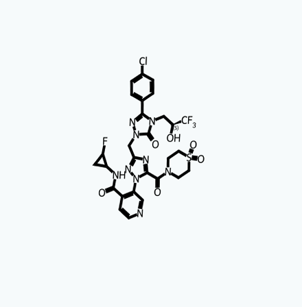 O=C(NC1CC1F)c1ccncc1-n1nc(Cn2nc(-c3ccc(Cl)cc3)n(C[C@H](O)C(F)(F)F)c2=O)nc1C(=O)N1CCS(=O)(=O)CC1